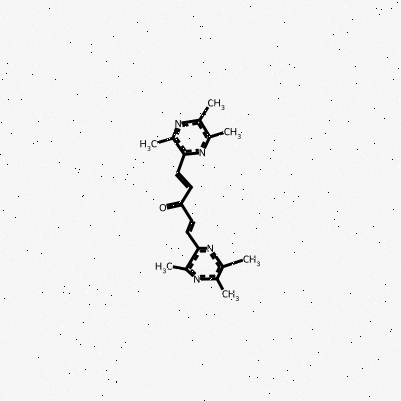 Cc1nc(C)c(/C=C/C(=O)/C=C/c2nc(C)c(C)nc2C)nc1C